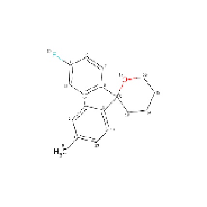 Cc1ccc(C2(c3ccc(F)cc3)CCCCO2)cc1